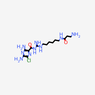 N=C(NCCCCCCNC(=O)CCN)NC(=O)c1nc(Cl)c(N)nc1N